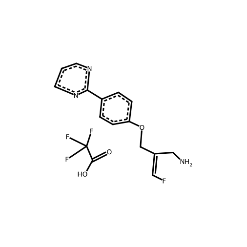 NC/C(=C\F)COc1ccc(-c2ncccn2)cc1.O=C(O)C(F)(F)F